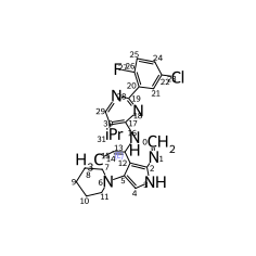 C=Nc1[nH]cc(N2CCCCC2)c1/C(=C\C)Nc1nc(-c2cc(Cl)ccc2F)ncc1C(C)C